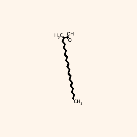 CCCCCC=CCC=CCC=CCC=CCCCCC(C)C(=O)O